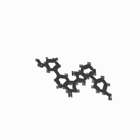 COc1cncc(-c2cnc3[nH]nc(-c4nc5c(-c6ccc(F)cc6)nccc5[nH]4)c3c2)c1